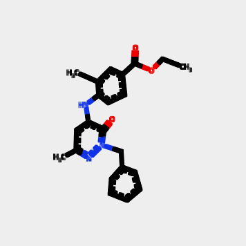 CCOC(=O)c1ccc(Nc2cc(C)nn(Cc3ccccc3)c2=O)c(C)c1